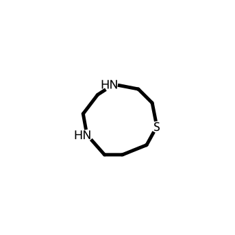 C1CNCCNCCSC1